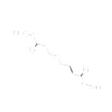 COC(=O)C=CCCCCC(=O)OC